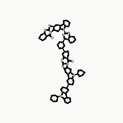 O=c1c2ccccc2oc2nc3cc4c5ccccc5n(-c5nc(-c6cccc(-c7ccc8c(=O)n9c(nc%10cc%11c%12cc(-c%13ccc%14c(c%13)c%13ccccc%13n%14-c%13ccccc%13)ccc%12n(-c%12ccccc%12)c%11cc%109)sc8c7)c6)c6ccccc6n5)c4cc3n12